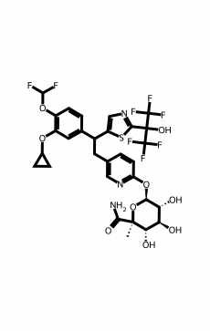 C[C@]1(C(N)=O)O[C@@H](Oc2ccc(CC(c3ccc(OC(F)F)c(OC4CC4)c3)c3cnc(C(O)(C(F)(F)F)C(F)(F)F)s3)cn2)[C@H](O)[C@@H](O)[C@@H]1O